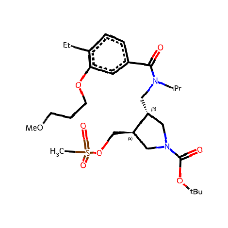 CCc1ccc(C(=O)N(C[C@@H]2CN(C(=O)OC(C)(C)C)C[C@H]2COS(C)(=O)=O)C(C)C)cc1OCCCOC